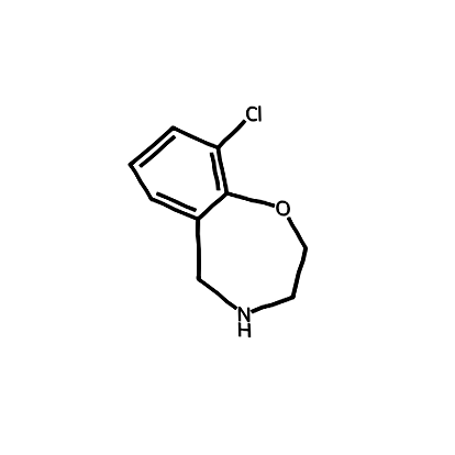 Clc1cccc2c1OCCNC2